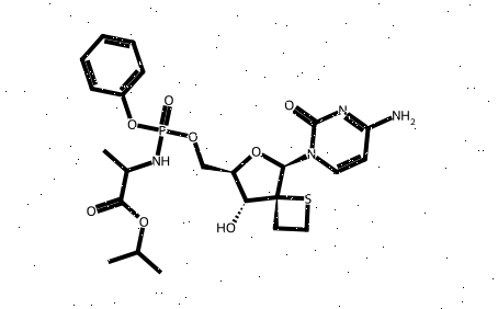 CC(C)OC(=O)C(C)NP(=O)(OC[C@H]1O[C@@H](n2ccc(N)nc2=O)[C@@]2(CCS2)[C@@H]1O)Oc1ccccc1